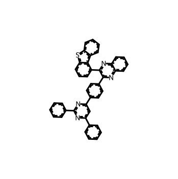 c1ccc(-c2cc(-c3ccc(-c4nc5ccccc5nc4-c4cccc5sc6ccccc6c45)cc3)nc(-c3ccccc3)n2)cc1